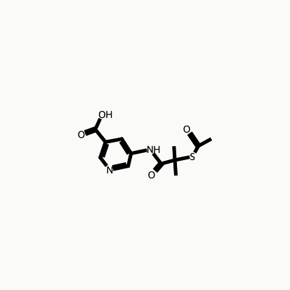 CC(=O)SC(C)(C)C(=O)Nc1cncc(C(=O)O)c1